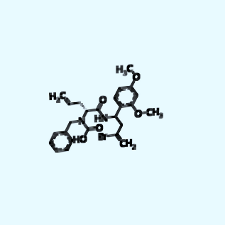 C=CC[C@H](C(=O)NC(CC(=C)Br)c1ccc(OC)cc1OC)N(Cc1ccccc1)C(=O)O